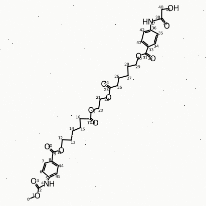 COC(=O)Nc1ccc(C(=O)OCCCCCC(=O)OCCOC(=O)CCCCCOC(=O)c2ccc(NC(=O)CO)cc2)cc1